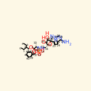 CCC(CC)COC(=O)[C@H](C)N[P@](=O)(OCC[C@H]1O[C@@](C#N)(c2ccc3c(N)ncnn23)[C@H](O)[C@@H]1O)OCc1ccccc1